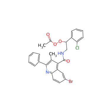 CC(=O)OOC(CNC(=O)c1c(C)c(-c2ccccc2)nc2ccc(Br)cc12)c1ccccc1Cl